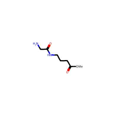 COC(=O)CCCNC(=O)CN